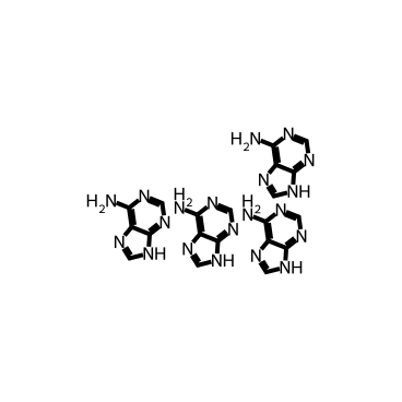 Nc1ncnc2[nH]cnc12.Nc1ncnc2[nH]cnc12.Nc1ncnc2[nH]cnc12.Nc1ncnc2[nH]cnc12